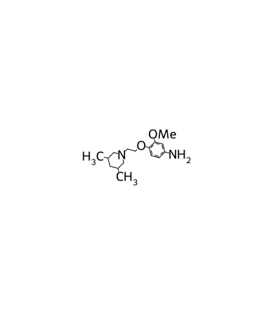 COc1cc(N)ccc1OCCN1CC(C)CC(C)C1